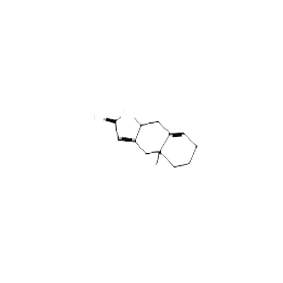 CC12CCCC=C1CC1OC(=O)C=C1C2